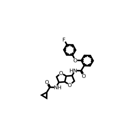 O=C(NC1COC2C(NC(=O)C3CC3)COC12)c1ccccc1Oc1ccc(F)cc1